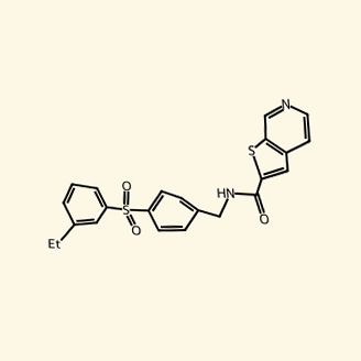 CCc1cccc(S(=O)(=O)c2ccc(CNC(=O)c3cc4ccncc4s3)cc2)c1